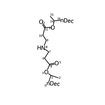 CCCCCCCCCCC(C)OC(=O)CCNCCC(=O)OC(C)CCCCCCCCCC